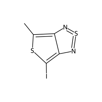 Cc1sc(I)c2c1N=S=N2